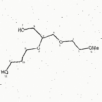 COCCOCC(CO)OCCCO